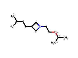 CC(C)CCC1CN(CCOC(C)C)C1